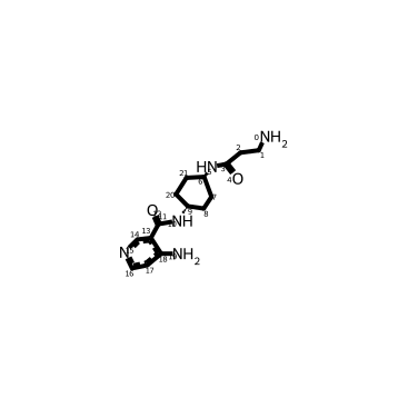 NCCC(=O)N[C@H]1CC[C@H](NC(=O)c2cnccc2N)CC1